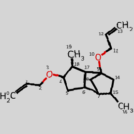 C=CCOC1CC2C3CC(OCC=C)(CC3C)C2C1C